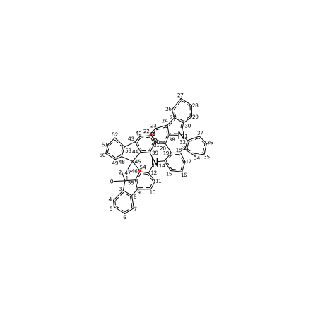 CC1(C)c2ccccc2-c2ccc(N(c3ccccc3-c3cccc4c5ccccc5n(-c5ccccc5)c34)c3cccc4c3C(C)(C)c3ccccc3-4)cc21